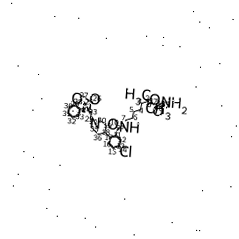 CC(C)(CCCCCNC(=O)c1cc(Cl)ccc1C1CCN(CCN2C(=O)COc3ccccc32)CC1)OC(N)=O